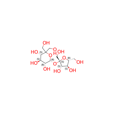 OC[C@H]1O[C@@](CO)(O[C@H]2OC(CO)(CO)[C@@H](O)[C@H](O)[C@H]2O)[C@@H](O)[C@@H]1O